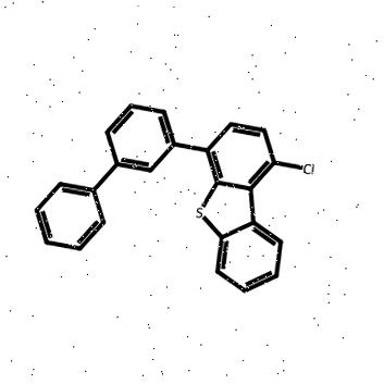 Clc1ccc(-c2cccc(-c3ccccc3)c2)c2sc3ccccc3c12